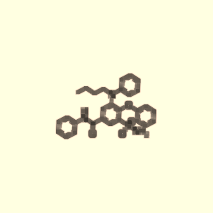 CCCCN(c1ccccc1)c1cc(C(=O)Nc2ccccc2)cc(S(N)(=O)=O)c1Oc1ccccc1